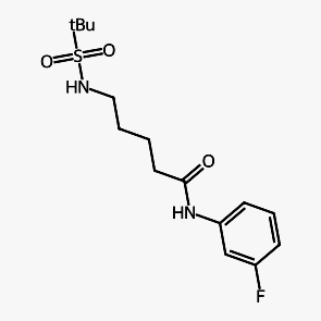 CC(C)(C)S(=O)(=O)NCCCCC(=O)Nc1cccc(F)c1